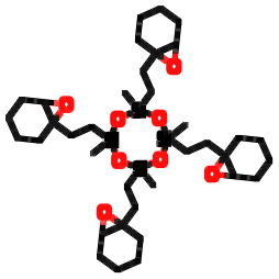 C[Si]1(CCC23CCCCC2O3)O[Si](C)(CCC23CCCCC2O3)O[Si](C)(CCC23CCCCC2O3)O[Si](C)(CCC23CCCCC2O3)O1